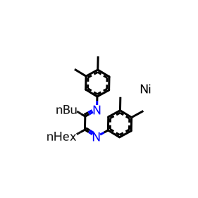 CCCCCCC(=Nc1ccc(C)c(C)c1)C(CCCC)=Nc1ccc(C)c(C)c1.[Ni]